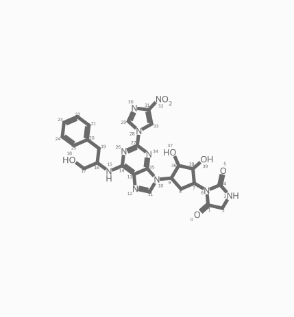 O=C1CNC(=O)N1C1CC(n2cnc3c(NC(CO)Cc4ccccc4)nc(-n4cnc([N+](=O)[O-])c4)nc32)C(O)C1O